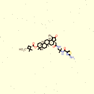 CC(C)C1=C2[C@H]3CC[C@@H]4[C@@]5(C)CC[C@H](OC(=O)[C@H]6C[C@@H](C(=O)O)C6(C)C)C(C)(C)[C@@H]5CC[C@@]4(C)[C@]3(C)CC[C@@]2(CC(=O)NCC(C)(C)NC(=O)c2csc(N)n2)CC1=O